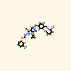 O=C(NCCOc1cccc(Cl)c1)c1cn(Cc2ccc(Cn3ccccc3=O)cc2)nc1C1CC1